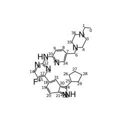 CCN1CCN(Cc2ccc(Nc3ncc(F)c(-c4ccc5n[nH]c(C6CCCC6)c5c4)n3)nc2)CC1